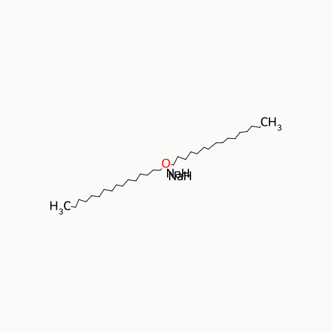 CCCCCCCCCCCCCCCCOCCCCCCCCCCCCCCCC.[NaH].[NaH]